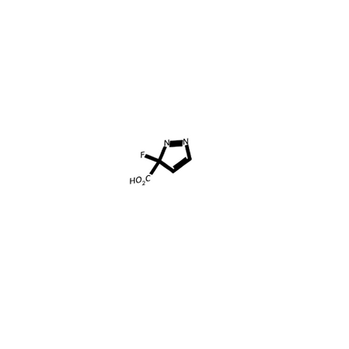 O=C(O)C1(F)C=CN=N1